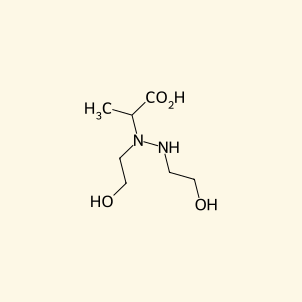 CC(C(=O)O)N(CCO)NCCO